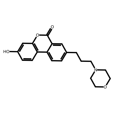 O=c1oc2cc(O)ccc2c2ccc(CCCN3CCOCC3)cc12